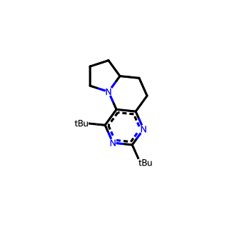 CC(C)(C)c1nc2c(c(C(C)(C)C)n1)N1CCCC1CC2